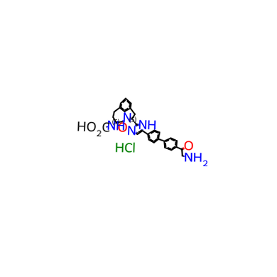 Cl.NCC(=O)c1ccc(-c2ccc(-c3cnc([C@@H]4Cc5cccc6c5N4C(=O)[C@@H](NC(=O)O)CC6)[nH]3)cc2)cc1